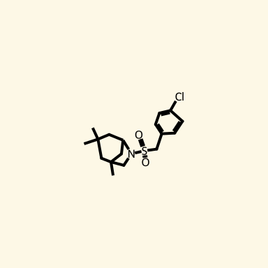 CC1(C)CC2CC(C)(CN2S(=O)(=O)Cc2ccc(Cl)cc2)C1